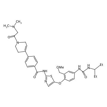 CCC(CC)NC(=O)Nc1ccc(Oc2cnc(NC(=O)c3ccc(C4=CCN(C(=O)CN(C)C)CC4)cc3)s2)c(COC)c1